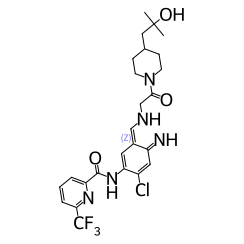 CC(C)(O)CC1CCN(C(=O)CN/C=C2/C=C(NC(=O)c3cccc(C(F)(F)F)n3)C(Cl)=CC2=N)CC1